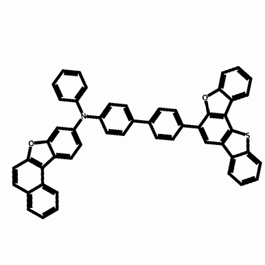 c1ccc(N(c2ccc(-c3ccc(-c4cc5c6ccccc6sc5c5c4oc4ccccc45)cc3)cc2)c2ccc3c(c2)oc2ccc4ccccc4c23)cc1